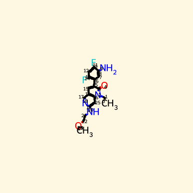 CCn1c(=O)c(-c2cc(N)c(F)cc2F)cc2cnc(NCCOC)cc21